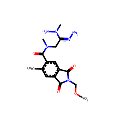 CN(C/C(=N/N)N(C)N)C(=O)c1cc2c(cc1C=O)C(=O)N(CO[N+](=O)[O-])C2=O